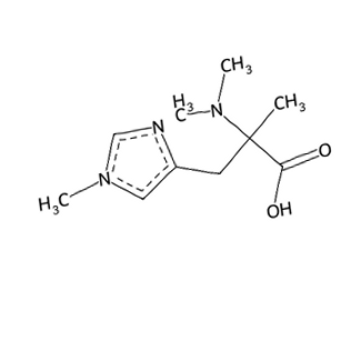 CN(C)C(C)(Cc1cn(C)cn1)C(=O)O